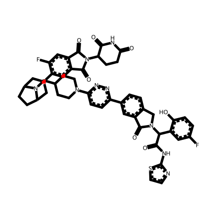 O=C1CCC(N2C(=O)c3cc(F)c(N4CC5CCC(C4)N5CC4CCN(c5ccc(-c6ccc7c(c6)C(=O)N(C(C(=O)Nc6nccs6)c6cc(F)ccc6O)C7)nn5)CC4)cc3C2=O)C(=O)N1